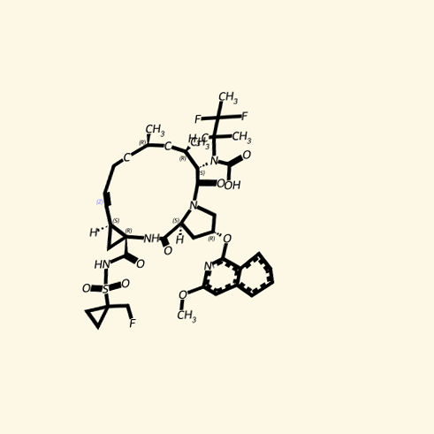 COc1cc2ccccc2c(O[C@@H]2C[C@H]3C(=O)N[C@]4(C(=O)NS(=O)(=O)C5(CF)CC5)C[C@H]4/C=C\CC[C@@H](C)C[C@@H](C)[C@H](N(C(=O)O)C(C)(C)C(C)(F)F)C(=O)N3C2)n1